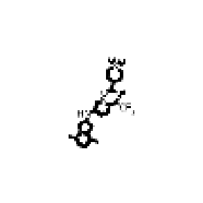 Cc1ccc(C)c2c1CC(Nc1ccc([C@H](N(C)C(=O)C3CCS(=O)(=O)CC3)C(F)(F)F)nc1)C2